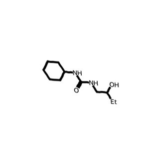 CCC(O)CNC(=O)NC1CCCCC1